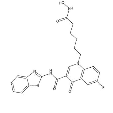 O=C(CCCCCn1cc(C(=O)Nc2nc3ccccc3s2)c(=O)c2cc(F)ccc21)NO